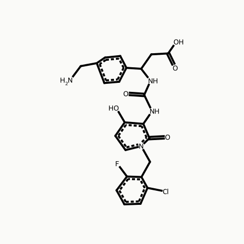 NCc1ccc(C(CC(=O)O)NC(=O)Nc2c(O)ccn(Cc3c(F)cccc3Cl)c2=O)cc1